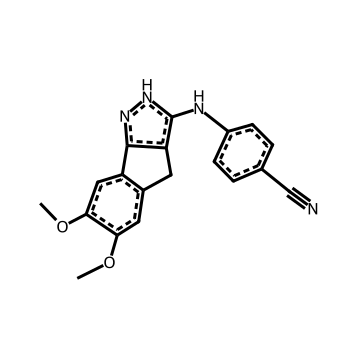 COc1cc2c(cc1OC)-c1n[nH]c(Nc3ccc(C#N)cc3)c1C2